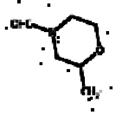 [CH2]C1CN(C=O)CCO1